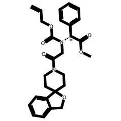 C=CCOC(=O)N(CC(=O)N1CCC2(CC1)OCc1ccccc12)[C@@H](C(=O)OC)c1ccccc1